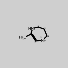 CC1=CNCCCN1